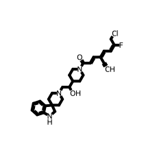 C#CC(=C\C=C(\F)CCl)/C=C/C(=O)N1CCC(C(O)CN2CCC3(CC2)CNc2ccccc23)CC1